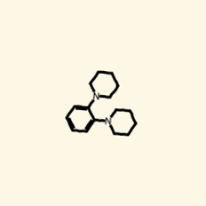 c1ccc(N2CCCCC2)c(N2CCCCC2)c1